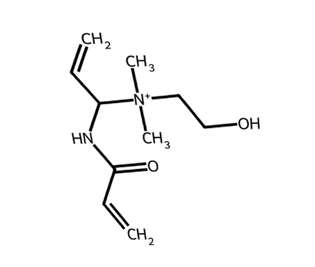 C=CC(=O)NC(C=C)[N+](C)(C)CCO